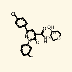 O=C(N[C@H]1COCC[C@H]1O)c1cc(-c2ccc(Cl)cc2)nn(-c2cccc(F)c2)c1=O